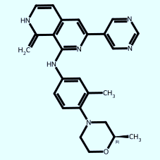 C=C1NC=Cc2cc(-c3cncnc3)nc(Nc3ccc(N4CCO[C@H](C)C4)c(C)c3)c21